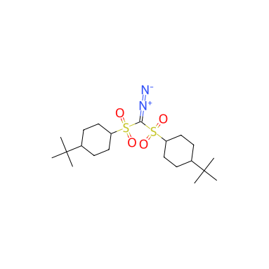 CC(C)(C)C1CCC(S(=O)(=O)C(=[N+]=[N-])S(=O)(=O)C2CCC(C(C)(C)C)CC2)CC1